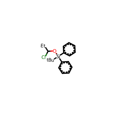 CCC(Cl)O[Si](c1ccccc1)(c1ccccc1)C(C)(C)C